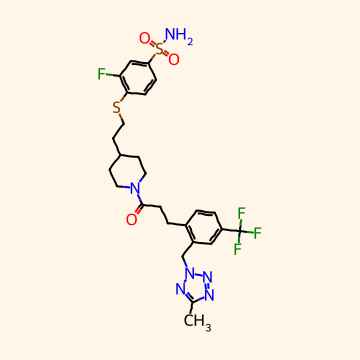 Cc1nnn(Cc2cc(C(F)(F)F)ccc2CCC(=O)N2CCC(CCSc3ccc(S(N)(=O)=O)cc3F)CC2)n1